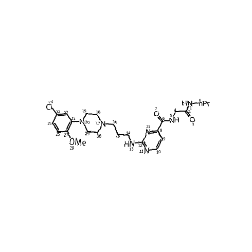 CCCNC(=O)CNC(=O)c1ccnc(NCCCN2CCN(c3cc(Cl)ccc3OC)CC2)n1